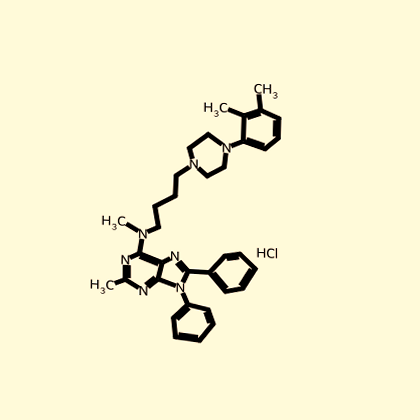 Cc1nc(N(C)CCCCN2CCN(c3cccc(C)c3C)CC2)c2nc(-c3ccccc3)n(-c3ccccc3)c2n1.Cl